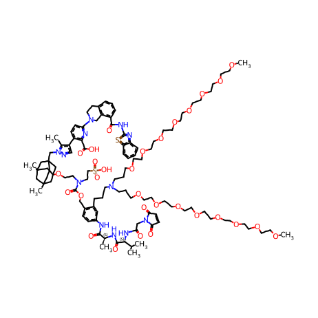 COCCOCCOCCOCCOCCOCCOCCOCCCN(CCCOCCOCCOCCOCCOCCOCCOCCOC)CCCc1cc(NC(=O)[C@H](C)NC(=O)[C@@H](NC(=O)CN2C(=O)C=CC2=O)C(C)C)ccc1COC(=O)N(CCOC12CC3(C)CC(C)(CC(Cn4ncc(-c5ccc(N6CCc7cccc(C(=O)Nc8nc9ccccc9s8)c7C6)nc5C(=O)O)c4C)(C3)C1)C2)CCS(=O)(=O)O